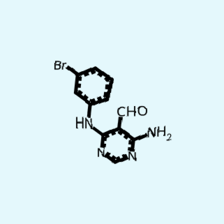 Nc1ncnc(Nc2cccc(Br)c2)c1C=O